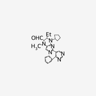 CCC1C(C=O)N(C)c2cnc(-c3cncnc3-c3ccccc3)nc2N1C1CCCC1